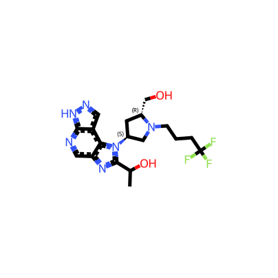 CC(O)c1nc2cnc3[nH]ncc3c2n1[C@H]1C[C@H](CO)N(CCCC(F)(F)F)C1